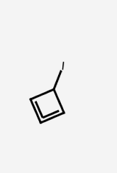 IC1C=C=C1